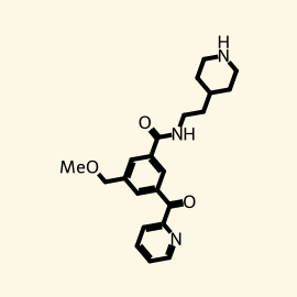 COCc1cc(C(=O)NCCC2CCNCC2)cc(C(=O)c2ccccn2)c1